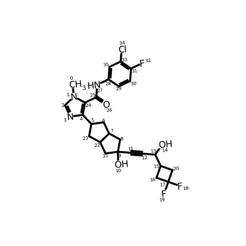 Cn1cnc(C2CC3CC(O)(C#CC(O)C4CC(F)(F)C4)CC3C2)c1C(=O)Nc1ccc(F)c(Cl)c1